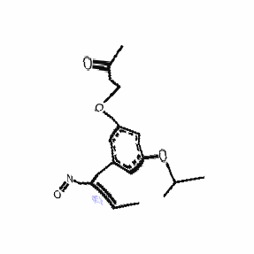 C/C=C(/N=O)c1cc(OCC(C)=O)cc(OC(C)C)c1